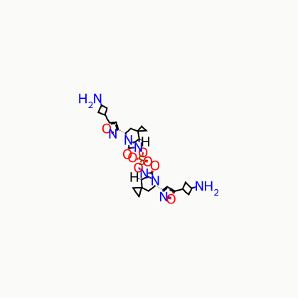 NC1CC(c2cc([C@@H]3CC4(CC4)[C@@H]4CN3C(=O)N4OS(=O)(=O)ON3C(=O)N4C[C@H]3C3(CC3)C[C@H]4c3cc(C4CC(N)C4)on3)no2)C1